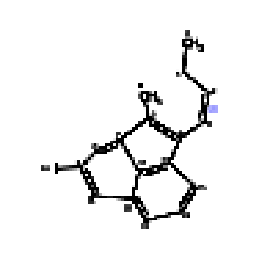 CC/C=C\C1=C(C)c2cc(I)cc3cccc1c23